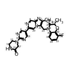 Cc1nc2cnc(-c3cnc(N4CCNC(=O)C4)nc3)cn2c1CN1C(=O)[C@@H](C)Oc2c(F)cccc21